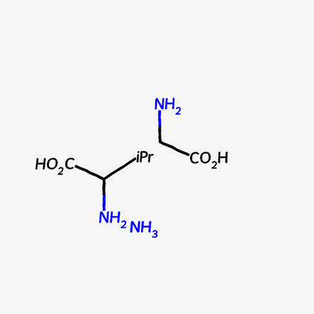 CC(C)C(N)C(=O)O.N.NCC(=O)O